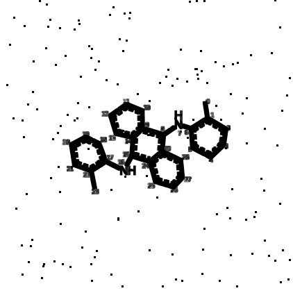 Cc1ccccc1Nc1c2ccccc2c(Nc2ccccc2C)c2ccccc12